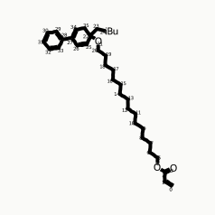 C=CC(=O)OCCCCCCCCCCCCCCCCOC1(CC(C)CC)C=CC(c2ccccc2)=CC1